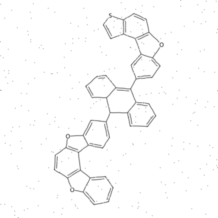 C1=CC2=C(c3ccc4oc5ccc6sccc6c5c4c3)c3ccccc3C(c3ccc4c(c3)oc3ccc5oc6ccccc6c5c34)C2C=C1